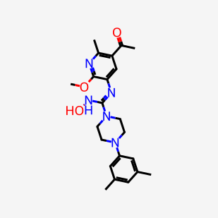 COc1nc(C)c(C(C)=O)cc1N=C(NO)N1CCN(c2cc(C)cc(C)c2)CC1